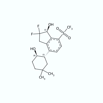 CC1(C)CC[C@@H](O)[C@H](c2ccc(S(=O)(=O)C(F)(F)F)c3c2CC(F)(F)[C@H]3O)C1